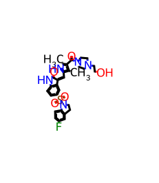 Cc1[nH]c(/C=C2\C(=O)Nc3ccc(S(=O)(=O)N4CCc5cc(F)ccc54)cc32)c(C)c1C(=O)N1CCN(CCO)CC1